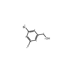 O[CH]c1cc(F)cc(Br)c1